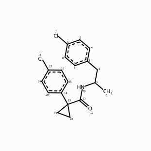 CC(Cc1ccc(Cl)cc1)NC(=O)C1(c2ccc(Cl)cc2)CC1